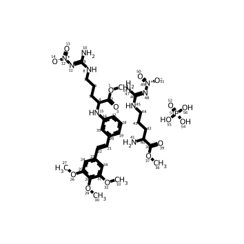 COC(=O)C(CCCNC(N)=N[N+](=O)[O-])Nc1cccc(C=Cc2cc(OC)c(OC)c(OC)c2)c1.COC(=O)C(N)CCCNC(N)=N[N+](=O)[O-].O=P(O)(O)O